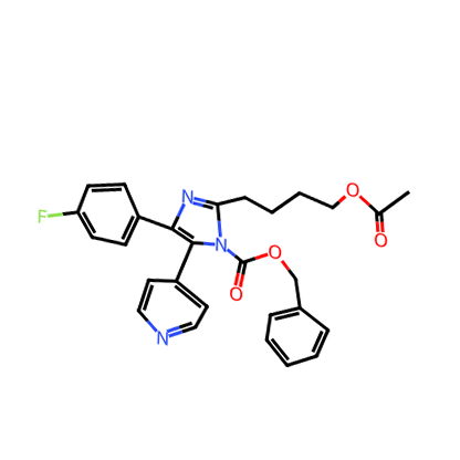 CC(=O)OCCCCc1nc(-c2ccc(F)cc2)c(-c2ccncc2)n1C(=O)OCc1ccccc1